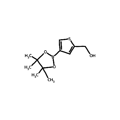 CC1(C)OB(c2csc(CO)c2)OC1(C)C